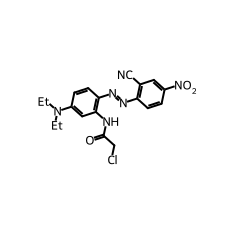 CCN(CC)c1ccc(N=Nc2ccc([N+](=O)[O-])cc2C#N)c(NC(=O)CCl)c1